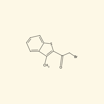 Cc1c(C(=O)CBr)sc2ccccc12